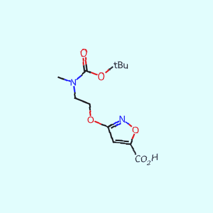 CN(CCOc1cc(C(=O)O)on1)C(=O)OC(C)(C)C